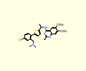 COc1cc2nc(C)nc(NC(C)c3ccc(-c4ccc(Cl)cc4CN(C)C)s3)c2cc1OC